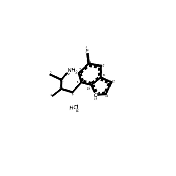 CC(N)C(C)Cc1cc(F)cc2ccoc12.Cl